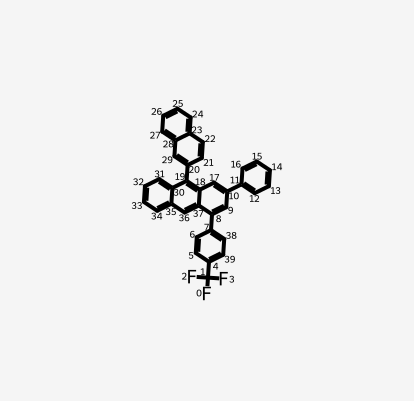 FC(F)(F)c1ccc(-c2cc(-c3ccccc3)cc3c(-c4ccc5ccccc5c4)c4ccccc4cc23)cc1